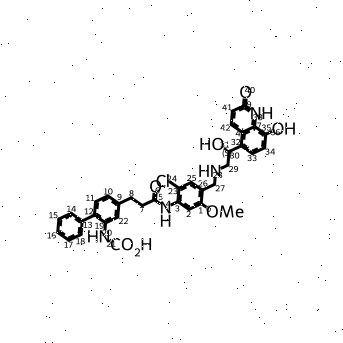 COc1cc(NC(=O)CCc2ccc(-c3ccccc3)c(NC(=O)O)c2)c(Cl)cc1CNC[C@@H](O)c1ccc(O)c2[nH]c(=O)ccc12